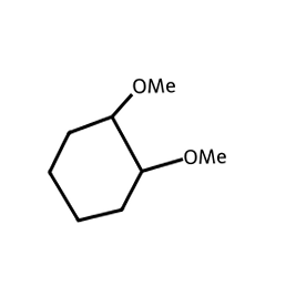 COC1CCCCC1OC